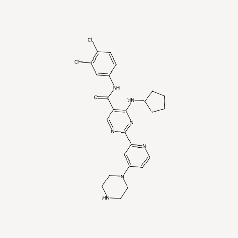 O=C(Nc1ccc(Cl)c(Cl)c1)c1cnc(-c2cc(N3CCNCC3)ccn2)nc1NC1CCCC1